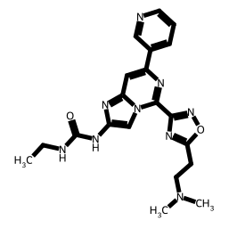 CCNC(=O)Nc1cn2c(-c3noc(CCN(C)C)n3)nc(-c3cccnc3)cc2n1